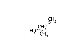 [CH2]SCCCCC(C)=C(C)C